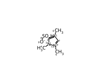 Cc1cn(C)[n+](C)c1.O=S(=O)([O-])O